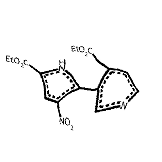 CCOC(=O)c1cc([N+](=O)[O-])c(-c2cnccc2C(=O)OCC)[nH]1